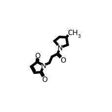 CC1CCN(C(=O)CCN2C(=O)C=CC2=O)C1